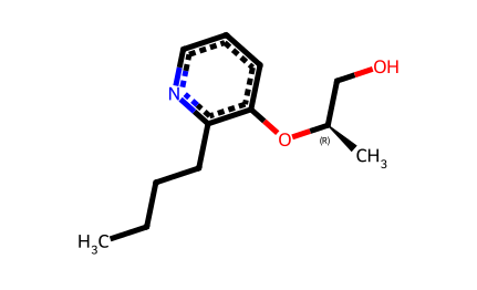 CCCCc1ncccc1O[C@H](C)CO